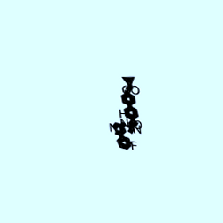 Cc1noc(-c2ccc(-c3ccc(OC(=O)C4CC4)cc3)cc2)c1Nc1cncc(-c2cccc(F)c2)c1